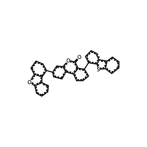 O=c1oc2cc(-c3cccc4oc5ccccc5c34)ccc2c2cccc(-c3cccc4c3sc3ccccc34)c12